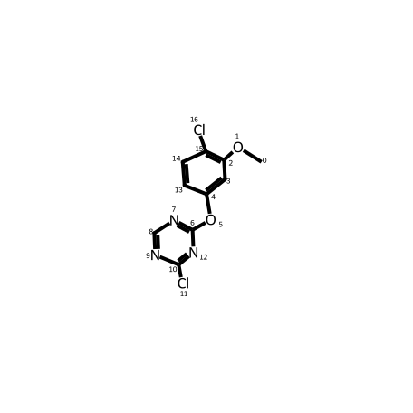 COc1cc(Oc2ncnc(Cl)n2)ccc1Cl